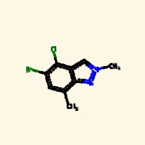 Cc1cc(Br)c(Cl)c2cn(C)nc12